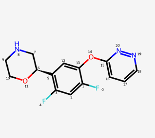 Fc1cc(F)c([C@@H]2CNCCO2)cc1Oc1cccnn1